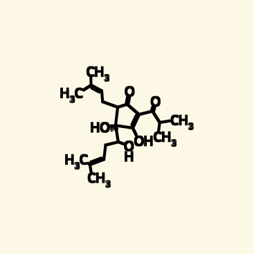 CC(C)=CCC(O)[C@@]1(O)C(O)=C(C(=O)C(C)C)C(=O)C1CC=C(C)C